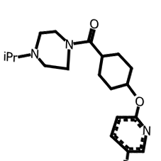 CC(C)N1CCN(C(=O)C2CCC(Oc3ccc(Br)cn3)CC2)CC1